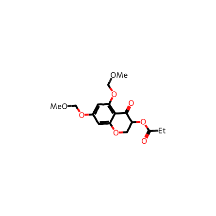 CCC(=O)OC1COc2cc(OCOC)cc(OCOC)c2C1=O